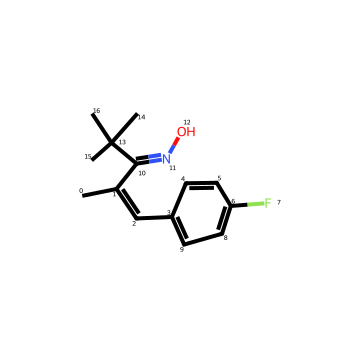 CC(=Cc1ccc(F)cc1)C(=NO)C(C)(C)C